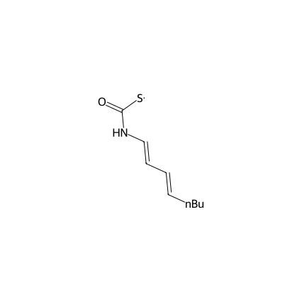 CCCC/C=C/C=C/NC(=O)[S]